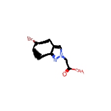 O=C(O)Cn1cc2cc(Br)ccc2n1